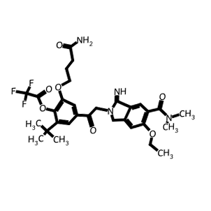 CCOc1cc2c(cc1C(=O)N(C)C)C(=N)N(CC(=O)c1cc(OCCCC(N)=O)c(OC(=O)C(F)(F)F)c(C(C)(C)C)c1)C2